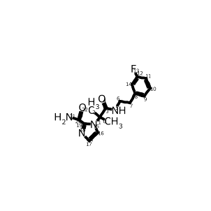 CC(C)(C(=O)NCCc1cccc(F)c1)n1c[c]nc1C(N)=O